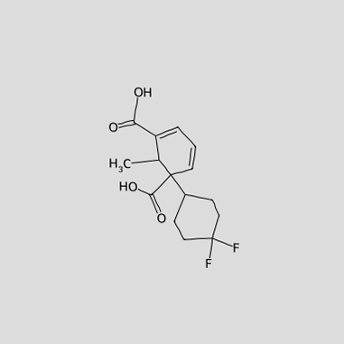 CC1C(C(=O)O)=CC=CC1(C(=O)O)C1CCC(F)(F)CC1